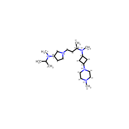 CC(C)N(C)[C@@H]1CCN(CC[C@@H](C)N(C)C2CC(N3CCN(C)CC3)C2)C1